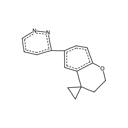 c1cnnc(-c2ccc3c(c2)C2(CCO3)CC2)c1